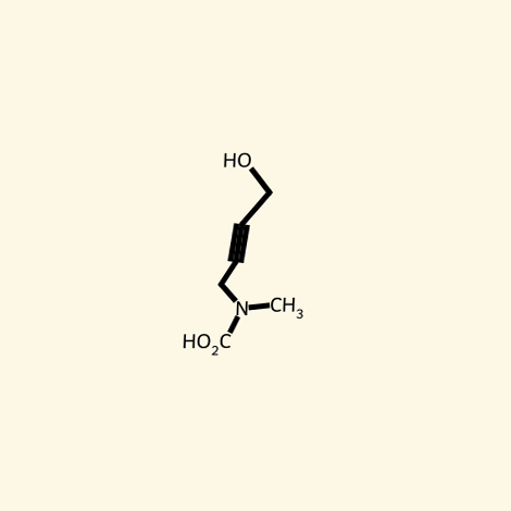 CN(CC#CCO)C(=O)O